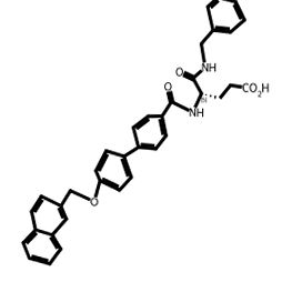 O=C(O)CC[C@H](NC(=O)c1ccc(-c2ccc(OCc3ccc4ccccc4c3)cc2)cc1)C(=O)NCc1ccccc1